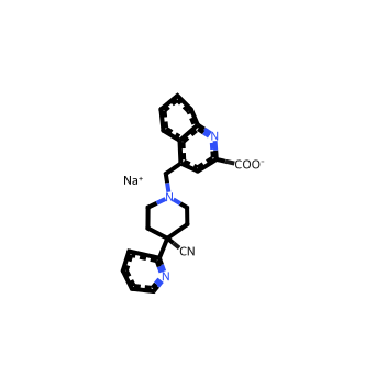 N#CC1(c2ccccn2)CCN(Cc2cc(C(=O)[O-])nc3ccccc23)CC1.[Na+]